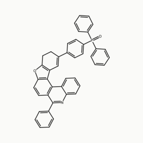 O=P(c1ccccc1)(c1ccccc1)c1ccc(C2=Cc3c(oc4ccc5c(-c6ccccc6)nc6ccccc6c5c34)CC2)cc1